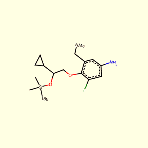 CNCc1cc(N)cc(F)c1OCC(O[Si](C)(C)C(C)(C)C)C1CC1